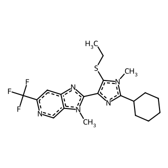 CCSc1c(-c2nc3cc(C(F)(F)F)ncc3n2C)nc(C2CCCCC2)n1C